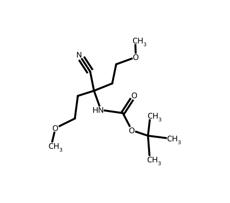 COCCC(C#N)(CCOC)NC(=O)OC(C)(C)C